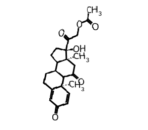 CC(=O)OCC(=O)[C@@]1(O)CCC2C3CCC4=CC(=O)C=C[C@]4(C)C3C(=O)C[C@@]21C